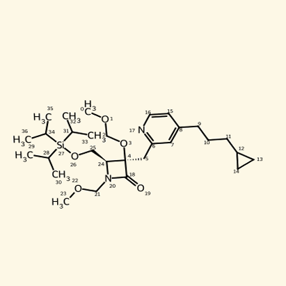 COCO[C@@]1(Cc2cc(CCCC3CC3)ccn2)C(=O)N(COC)[C@H]1CO[Si](C(C)C)(C(C)C)C(C)C